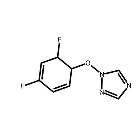 FC1=CC(F)C(On2cncn2)C=C1